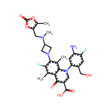 Cc1oc(=O)oc1CN(C)C1CN(c2c(F)c(C)c3c(=O)c(C(=O)O)cn(-c4cc(N)c(F)cc4CO)c3c2C)C1